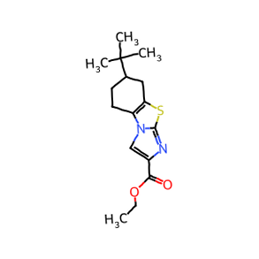 CCOC(=O)c1cn2c3c(sc2n1)CC(C(C)(C)C)CC3